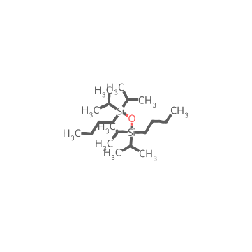 CCCC[Si](O[Si](CCCC)(C(C)C)C(C)C)(C(C)C)C(C)C